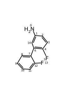 Nc1ccc(F)c(-c2ccccc2F)c1